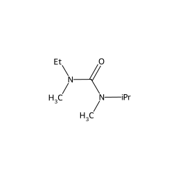 CCN(C)C(=O)N(C)C(C)C